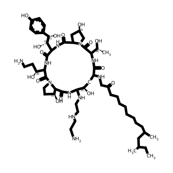 CCC(C)CC(C)CCCCCCCCC(=O)CNC1C[C@@H](O)C(NCCNCCN)NC(=O)C2[C@@H](O)CCN2C(=O)C([C@H](O)CCN)NC(=O)C([C@H](O)[C@@H](O)c2ccc(O)cc2)NC(=O)C2C[C@@H](O)CN2C(=O)C([C@@H](C)O)NC1=O